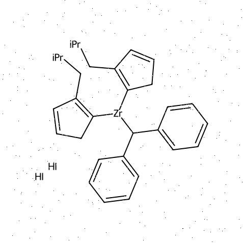 CC(C)CC1=[C]([Zr]([C]2=C(CC(C)C)C=CC2)[CH](c2ccccc2)c2ccccc2)CC=C1.I.I